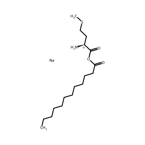 CCCCCCCCCCCC(=O)OC(=O)[C@@H](N)CCSC.[Na]